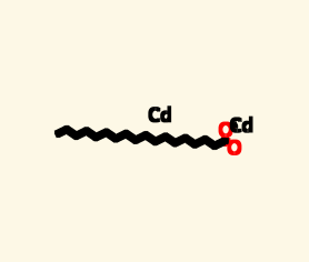 CCCCCCCCCCCCCCCCCC(=O)[O][Cd].[Cd]